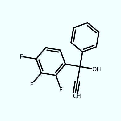 C#CC(O)(c1ccccc1)c1ccc(F)c(F)c1F